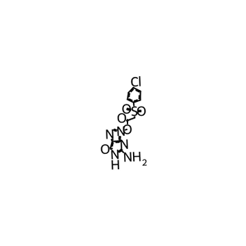 Nc1nc2c(ncn2OC(=O)CS(=O)(=O)c2ccc(Cl)cc2)c(=O)[nH]1